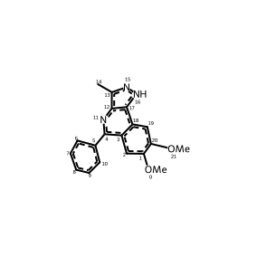 COc1cc2c(-c3ccccc3)nc3c(C)n[nH]c3c2cc1OC